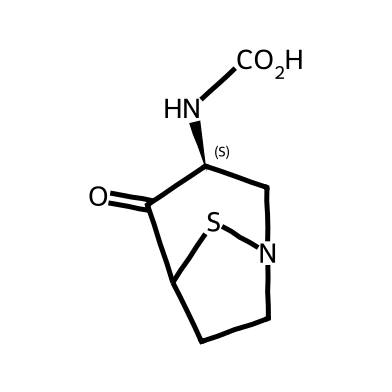 O=C(O)N[C@H]1CN2CCC(S2)C1=O